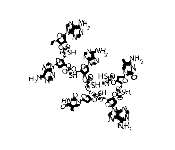 CC[C@H]1O[C@@H](n2cnc3c(N)ncnc32)CC1OP(=O)(S)OC[C@H]1O[C@@H](n2cnc3c(N)ncnc32)CC1OP(=O)(S)OC[C@H]1O[C@@H](n2cnc3c(N)ncnc32)CC1OP(=O)(S)OC[C@H]1O[C@@H](n2cc(C)c(=O)[nH]c2=O)CC1OP(=O)(S)OC[C@H]1O[C@@H](n2cnc3c(N)ncnc32)CC1OP(=O)(S)OC[C@H]1O[C@@H](n2cc(C)c(N)nc2=O)CC1OP(=O)(S)OC